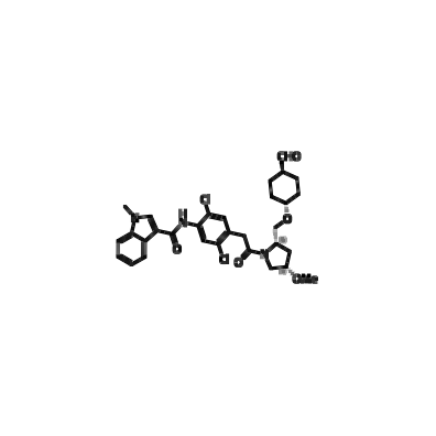 CO[C@H]1C[C@@H](CO[C@H]2CC[C@H](C=O)CC2)N(C(=O)Cc2cc(Cl)c(NC(=O)c3cn(C)c4ccccc34)cc2Cl)C1